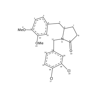 COc1ccc(CC2CCC(=O)N2Cc2ccc(Cl)c(Cl)c2)cc1OC